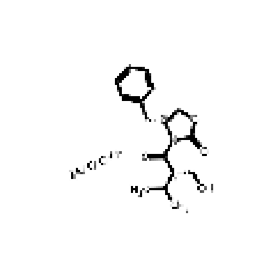 CC(C)[C@@H](CO)C(=O)N1C(=O)OC[C@H]1Cc1ccccc1.[Cl-].[Cl-].[Cl-].[Cl-].[Ti+4]